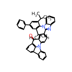 CC(C)c1cc(-c2ccccc2)cc(C(C)C)c1-n1c(-c2ccc3c(c2)c(=O)c2cccc4c5ccccc5n3c24)nc2ccccc21